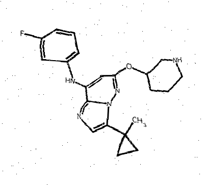 CC1(c2cnc3c(Nc4cccc(F)c4)cc(OC4CCCNC4)nn23)CC1